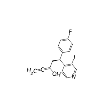 C=C=C(O)C[C@@H](c1ccc(F)cc1)c1ccncc1I